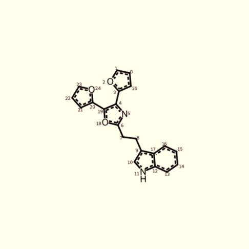 c1coc(-c2nc(CCc3c[nH]c4ccccc34)oc2-c2ccco2)c1